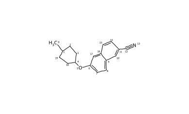 CC1CCC(Oc2ccc3cc(C#N)ccc3c2)CC1